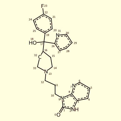 O=c1[nH]c2cccnc2n1CCCN1CCC(C(O)(c2ccc(F)cc2)c2ccccn2)CC1